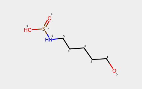 [O]CCCCCNS(=O)O